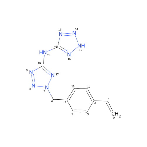 C=Cc1ccc(Cn2nnc(Nc3nn[nH]n3)n2)cc1